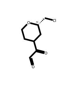 O=CC(=O)C1CCO[C@H](CCl)C1